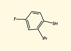 CC(C)c1cc(F)ccc1S